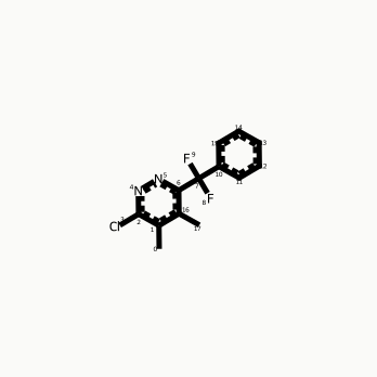 Cc1c(Cl)nnc(C(F)(F)c2ccccc2)c1C